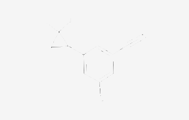 N#Cc1cc(Br)cc(C2CC2(F)F)c1